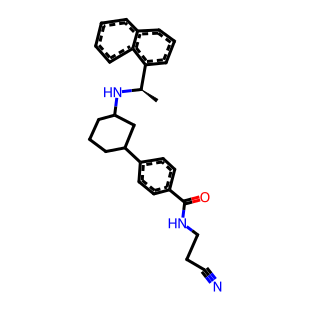 C[C@@H](NC1CCCC(c2ccc(C(=O)NCCC#N)cc2)C1)c1cccc2ccccc12